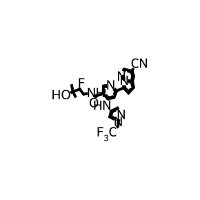 CC(C)(O)C(F)CNC(=O)c1cnc(-c2ccc3cc(C#N)cnn23)cc1Nc1cnn(CC(F)(F)F)c1